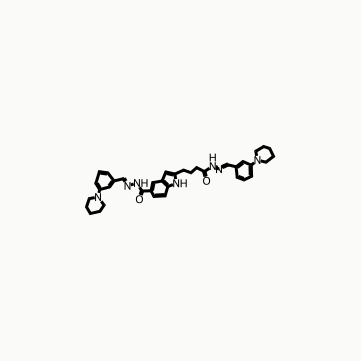 O=C(CCCc1cc2cc(C(=O)NN=Cc3cccc(N4CCCCC4)c3)ccc2[nH]1)NN=Cc1cccc(N2CCCCC2)c1